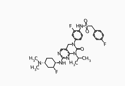 CC(C)N1C(=O)N(c2ccc(NS(=O)(=O)Cc3ccc(F)cc3)c(F)c2)Cc2cnc(N[C@@H]3CC[C@@H](N(C)C)C[C@@H]3F)nc21